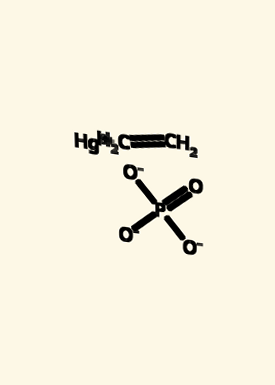 C=C.O=P([O-])([O-])[O-].[Hg+3]